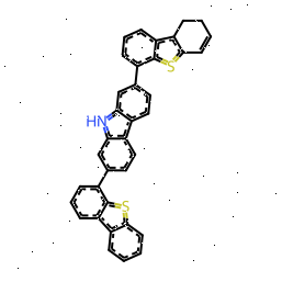 C1=Cc2sc3c(-c4ccc5c(c4)[nH]c4cc(-c6cccc7c6sc6ccccc67)ccc45)cccc3c2CC1